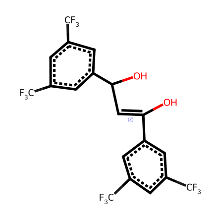 O/C(=C\C(O)c1cc(C(F)(F)F)cc(C(F)(F)F)c1)c1cc(C(F)(F)F)cc(C(F)(F)F)c1